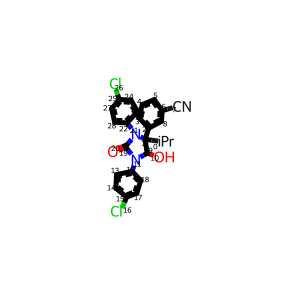 CC(C)C1(c2cccc(C#N)c2)C(O)N(c2ccc(Cl)cc2)C(=O)N1c1ccc(Cl)cc1